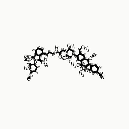 CCc1cc2c(cc1N1CC(C)N(CC(=O)NCCNc3cccc4c(=C=O)n(C5CCC(=C=O)NC5=C=O)c(=C=O)c34)C(C)C1)C(C)(C)c1[nH]c3cc(C#N)ccc3c1C2=C=O